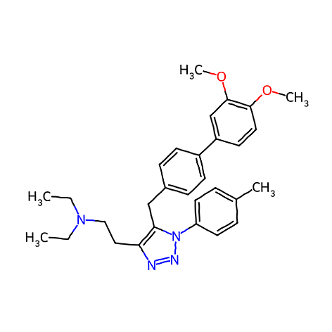 CCN(CC)CCc1nnn(-c2ccc(C)cc2)c1Cc1ccc(-c2ccc(OC)c(OC)c2)cc1